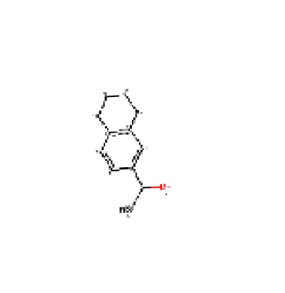 CCCCC(O)c1ccc2c(c1)CCCC2